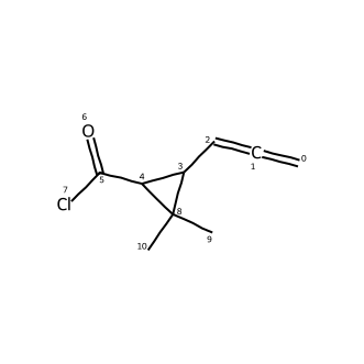 C=C=CC1C(C(=O)Cl)C1(C)C